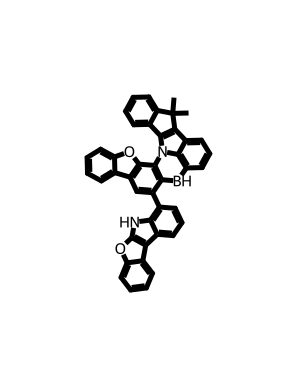 CC1(C)c2ccccc2-c2c1c1cccc3c1n2-c1c(c(-c2cccc4c2[nH]c2oc5ccccc5c24)cc2c1oc1ccccc12)B3